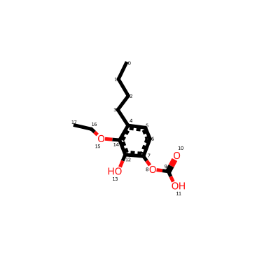 CCCCc1ccc(OC(=O)O)c(O)c1OCC